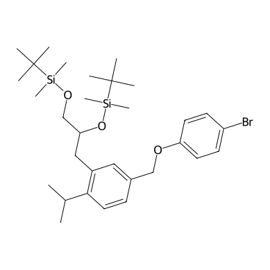 CC(C)c1ccc(COc2ccc(Br)cc2)cc1CC(CO[Si](C)(C)C(C)(C)C)O[Si](C)(C)C(C)(C)C